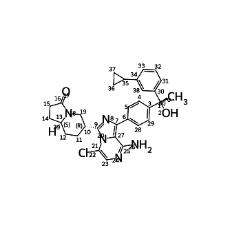 C[C@@](O)(c1ccc(-c2nc([C@@H]3CC[C@H]4CCC(=O)N4C3)n3c(Cl)cnc(N)c23)cc1)c1cccc(C2CC2)c1